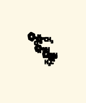 CCc1nc(-c2ccccc2)c(Oc2ccnc(Nc3cccc(NS(=O)(=O)CC)c3)c2)s1